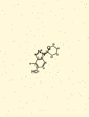 Cc1c(O)ccc2c1cnn2C1CCCCO1